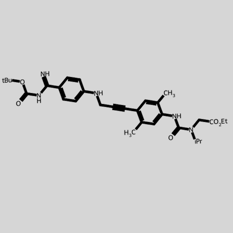 CCOC(=O)CN(C(=O)Nc1cc(C)c(C#CCNc2ccc(C(=N)NC(=O)OC(C)(C)C)cc2)cc1C)C(C)C